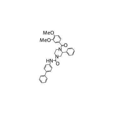 COc1ccc(C(=O)N2CCN(C(=O)Nc3ccc(-c4ccccc4)cc3)CC2c2ccccc2)cc1OC